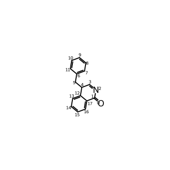 O=C1N=CC(Cc2ccccc2)c2ccccc21